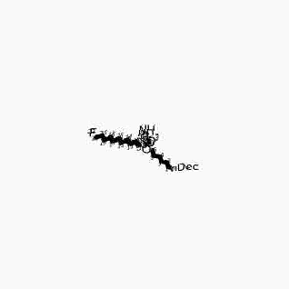 CCCCCCCCCCCCCCCCOS(=O)(=O)CCCCCCCCCCCF.N